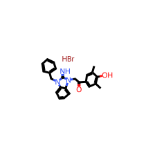 Br.Cc1cc(C(=O)Cn2c(=N)n(Cc3ccccc3)c3ccccc32)cc(C)c1O